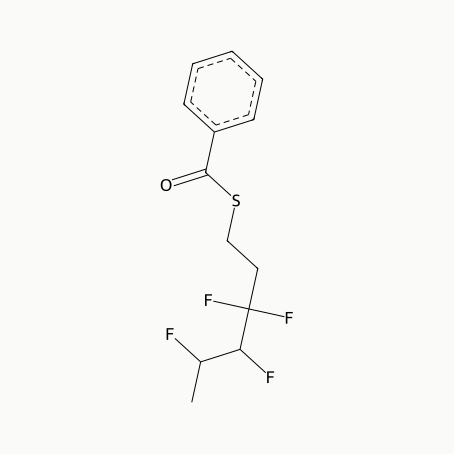 CC(F)C(F)C(F)(F)CCSC(=O)c1ccccc1